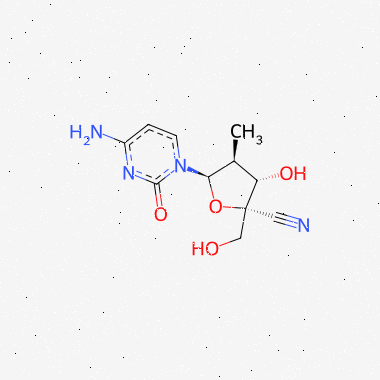 C[C@@H]1[C@H](n2ccc(N)nc2=O)O[C@](C#N)(CO)[C@H]1O